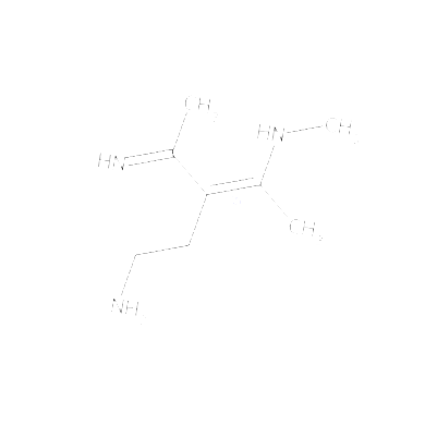 CN/C(C)=C(/CCN)C(C)=N